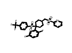 O=S(=O)(CC1CCC(c2cc(F)ccc2F)(S(=O)(=O)c2ccc(C(F)(F)F)cc2)CC1)c1ccccn1